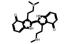 CNCCc1c2c([nH]c1=c1[nH]c3c(c1CCN(C)C)C(=O)C=CC=3)=CC=CC2=O